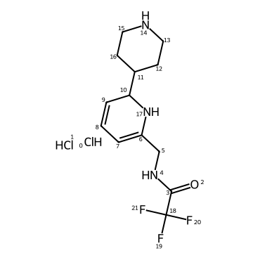 Cl.Cl.O=C(NCC1=CC=CC(C2CCNCC2)N1)C(F)(F)F